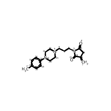 C=C1CC(=O)N(CCCN2CCN(c3ccc(C)cc3)CC2)C1=O